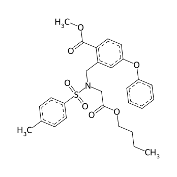 CCCCOC(=O)CN(Cc1cc(Oc2ccccc2)ccc1C(=O)OC)S(=O)(=O)c1ccc(C)cc1